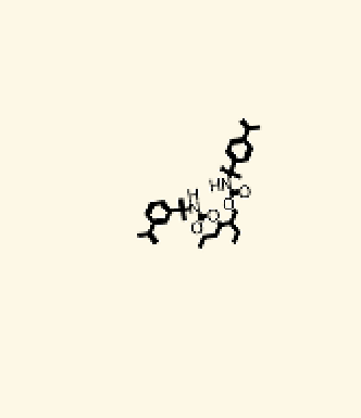 C=C(C)c1ccc(C(C)(C)NC(=O)OCC(CC)C(CCC)OC(=O)NC(C)(C)c2cccc(C(=C)C)c2)cc1